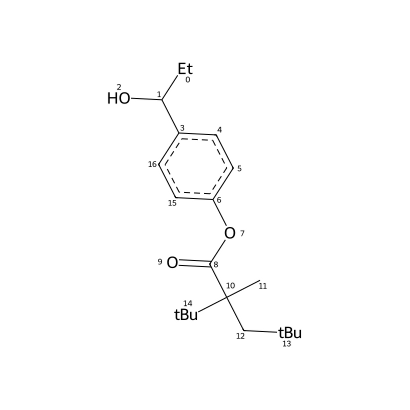 CCC(O)c1ccc(OC(=O)C(C)(CC(C)(C)C)C(C)(C)C)cc1